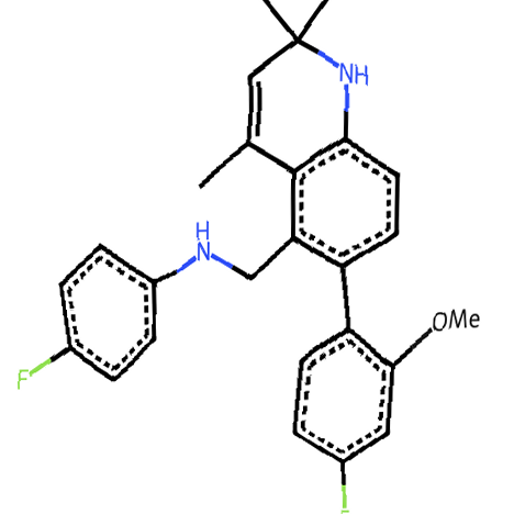 COc1cc(F)ccc1-c1ccc2c(c1CNc1ccc(F)cc1)C(C)=CC(C)(C)N2